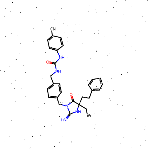 CC(C)CC1(CCc2ccccc2)NC(=N)N(Cc2ccc(CNC(=O)Nc3ccc(C#N)cc3)cc2)C1=O